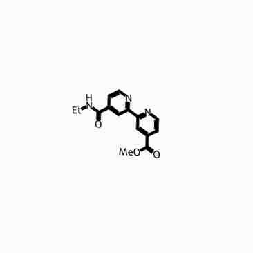 CCNC(=O)c1ccnc(-c2cc(C(=O)OC)ccn2)c1